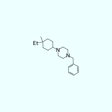 CCC1(C)CCC(N2CCN(Cc3ccccc3)CC2)CC1